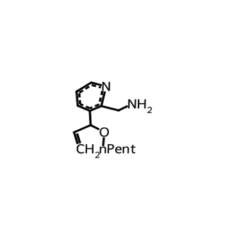 C=CC(OCCCCC)c1cccnc1CN